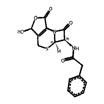 O=C(Cc1ccccc1)N[C@@H]1C(=O)N2C3=C(CS[C@H]12)C(O)OC3=O